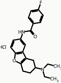 CCN(CC)C1CCc2oc3ccc(NC(=O)c4ccc(F)cc4)cc3c2C1.Cl